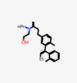 C=C(CCc1ccc(C)c(/C(=C/CC)c2ccccc2C)c1)N(CCC)CCO